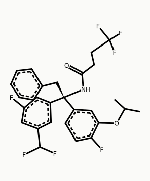 CC(C)Oc1cc([C@@](Cc2ccccc2)(NC(=O)CCC(F)(F)F)c2cc(F)cc(C(F)F)c2)ccc1F